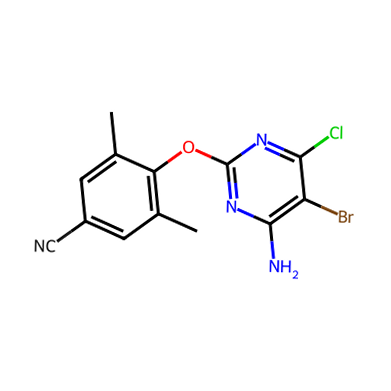 Cc1cc(C#N)cc(C)c1Oc1nc(N)c(Br)c(Cl)n1